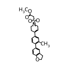 COC(=O)CS(=O)(=O)N1CC=C(c2ccc(-c3ccc4c(c3)CCO4)c(C)c2)CC1